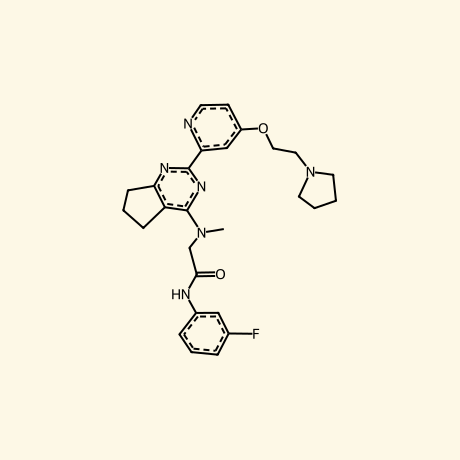 CN(CC(=O)Nc1cccc(F)c1)c1nc(-c2cc(OCCN3CCCC3)ccn2)nc2c1CCC2